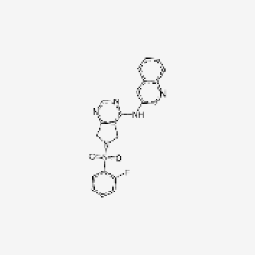 O=S(=O)(c1ccccc1F)N1Cc2ncnc(Nc3cnc4ccccc4c3)c2C1